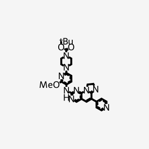 COc1nc(N2CCN(C(=O)OC(C)(C)C)CC2)ccc1Nc1ncc2c(n1)N1CCN=C1C(c1ccncc1)=C2